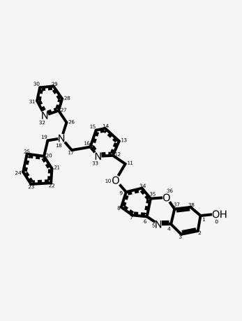 OC1C=CC2=Nc3ccc(OCc4cccc(CN(Cc5ccccc5)Cc5ccccn5)n4)cc3OC2=C1